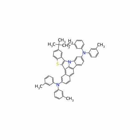 Cc1cccc(N(c2cccc(C)c2)c2ccc3cc4c5ccc(N(c6cccc(C)c6)c6cccc(C)c6)cc5n5c6c7cc(C(C)(C)C)ccc7sc6c(c3c2)c45)c1